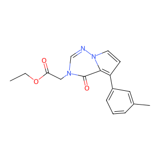 CCOC(=O)Cn1cnn2ccc(-c3cccc(C)c3)c2c1=O